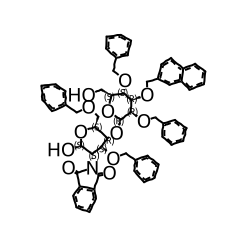 O=C1c2ccccc2C(=O)N1[C@H]1[C@H](OCc2ccccc2)[C@@H](O[C@H]2O[C@@H](CO)[C@H](OCc3ccccc3)[C@@H](OCc3ccc4ccccc4c3)[C@H]2OCc2ccccc2)[C@H](COCc2ccccc2)O[C@@H]1O